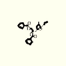 C=CC[C@@H]1O[C@H](C[C@@H](COC(=O)c2ccccc2)OC(=O)c2ccccc2)C[C@H]1C